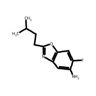 CC(C)CCc1nc2cc(N)c(F)cc2o1